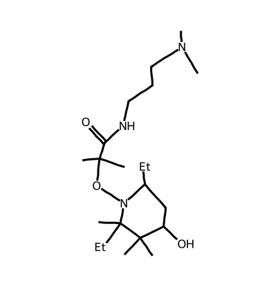 CCC1CC(O)C(C)(C)C(C)(CC)N1OC(C)(C)C(=O)NCCCN(C)C